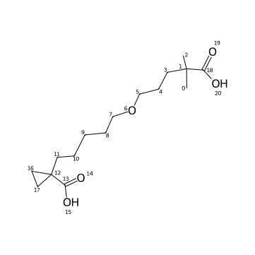 CC(C)(CCCOCCCCCC1(C(=O)O)CC1)C(=O)O